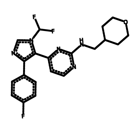 Fc1ccc(-c2ncn(C(F)F)c2-c2ccnc(NCC3CCOCC3)n2)cc1